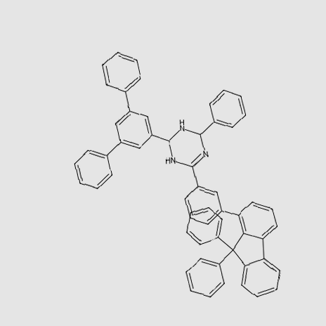 c1ccc(-c2cc(-c3ccccc3)cc(C3NC(c4cccc(-c5cccc6c5C(c5ccccc5)(c5ccccc5)c5ccccc5-6)c4)=NC(c4ccccc4)N3)c2)cc1